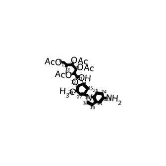 CC(=O)OCC(I)[C@@H](OC(C)=O)C(OC(C)=O)C(OC(C)=O)[C@H](O)Oc1ccc(-n2ccc3cc(N)ccc32)cc1C